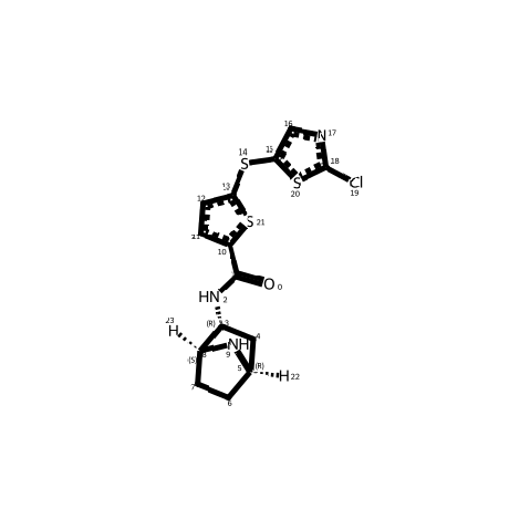 O=C(N[C@@H]1C[C@H]2CC[C@@H]1N2)c1ccc(Sc2cnc(Cl)s2)s1